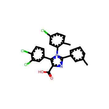 Cc1cccc(-c2nc(C(=O)O)c(-c3ccc(Cl)c(Cl)c3)n2-c2cc(Cl)ccc2C)c1